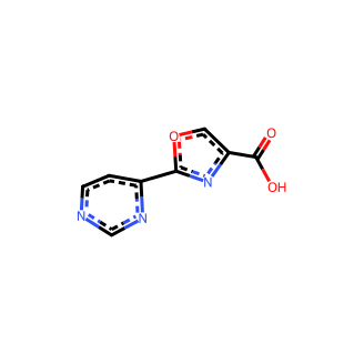 O=C(O)c1coc(-c2ccncn2)n1